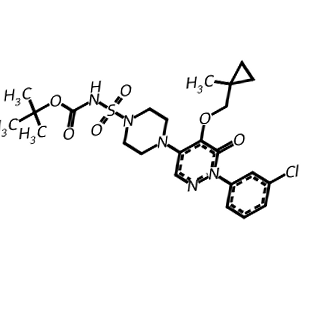 CC1(COc2c(N3CCN(S(=O)(=O)NC(=O)OC(C)(C)C)CC3)cnn(-c3cccc(Cl)c3)c2=O)CC1